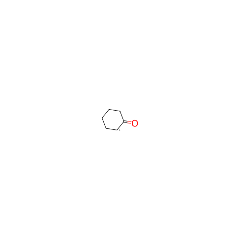 O=C1[CH]CCCC1